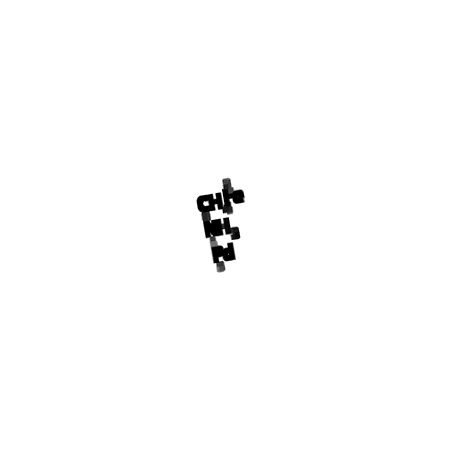 C.N.[Fe].[Pd]